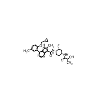 Cc1ccc(OCC2CC2)c(-c2ncnc3c(C(=O)N[C@H]4CC[C@H](NC(=O)[C@H](C)O)C[C@H]4F)c(C)[nH]c23)c1